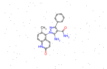 Cc1ccc2[nH]c(=O)ccc2c1-n1nc(-c2ccccc2)c(C(N)=O)c1N